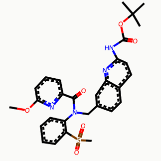 COc1cccc(C(=O)N(Cc2ccc3ccc(NC(=O)OC(C)(C)C)nc3c2)c2ccccc2S(C)(=O)=O)n1